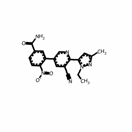 CCn1nc(C)cc1-c1ncc(-c2cc(C(N)=O)ccc2[N+](=O)[O-])cc1C#N